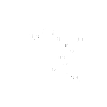 C1CNCCN1.C1COCCN1.Cc1cc(C)c(N(C)C)cc1N.Cc1ccc(N)c(C)c1N(C)C